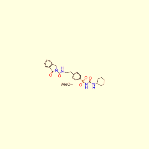 COC.O=C(NC1CCCCC1)NS(=O)(=O)c1ccc(CCNC(=O)N2Cc3ccccc3C2=O)cc1